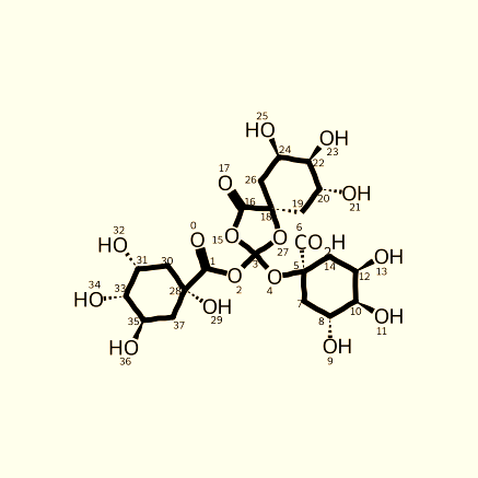 O=C(OC1(O[C@]2(C(=O)O)C[C@@H](O)[C@H](O)[C@H](O)C2)OC(=O)[C@]2(C[C@@H](O)[C@H](O)[C@H](O)C2)O1)[C@]1(O)C[C@@H](O)[C@@H](O)[C@H](O)C1